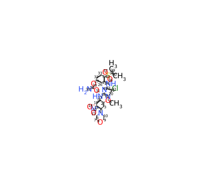 COc1cc(N2CCOCC2)c([N+](=O)[O-])cc1Nc1ncc(Cl)c(Nc2cc(OC(N)=O)ccc2S(=O)(=O)C(C)C)n1